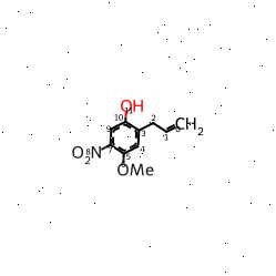 C=CCc1cc(OC)c([N+](=O)[O-])cc1O